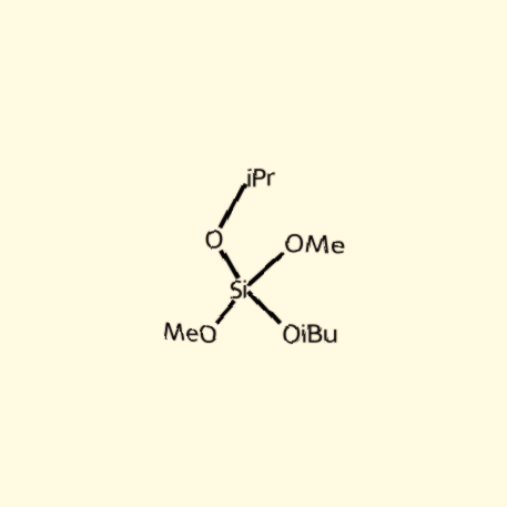 CO[Si](OC)(OCC(C)C)OC(C)C